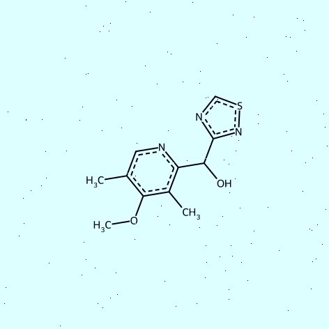 COc1c(C)cnc(C(O)c2ncsn2)c1C